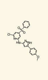 COc1ccc(-c2cc(Nc3cc(S(=O)(=O)c4ccccc4)cc(Cl)n3)n[nH]2)cc1